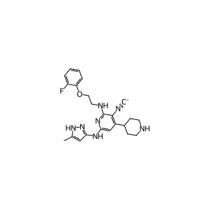 [C-]#[N+]c1c(C2CCNCC2)cc(Nc2cc(C)[nH]n2)nc1NCCOc1ccccc1F